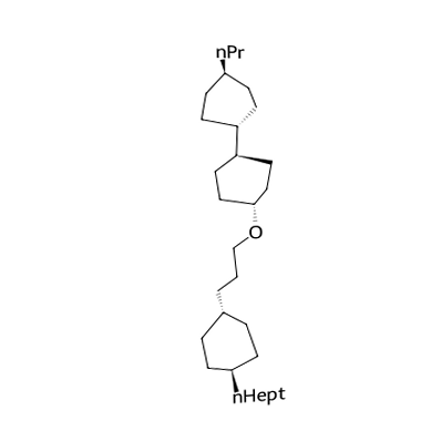 CCCCCCC[C@H]1CC[C@H](CCCO[C@H]2CC[C@H]([C@H]3CC[C@H](CCC)CC3)CC2)CC1